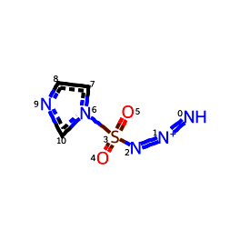 N=[N+]=NS(=O)(=O)n1ccnc1